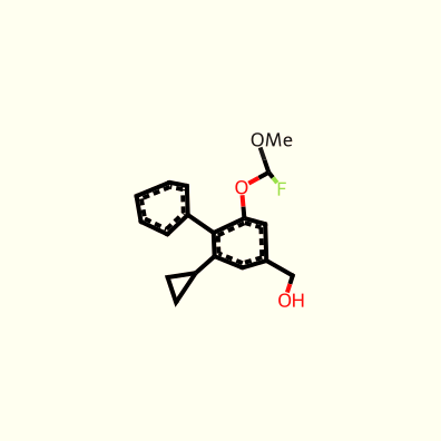 COC(F)Oc1cc(CO)cc(C2CC2)c1-c1ccccc1